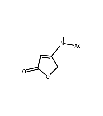 CC(=O)NC1=CC(=O)OC1